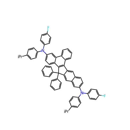 CC(C)c1ccc(N(c2ccc(F)cc2)c2ccc3cc4c(cc3c2)C(c2ccccc2)(c2ccccc2)c2c-4c3ccccc3c3cc(N(c4ccc(F)cc4)c4ccc(C(C)C)cc4)ccc23)cc1